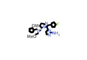 COCCN(Cc1ccccc1OC)C[C@@H]1CCc2nc(-c3ccc(F)cc3)c(-c3ccnc(N)n3)n21